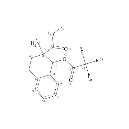 COC(=O)C1(N)CCc2ccccc2C1OC(=O)C(F)(F)F